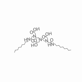 CCCCCCCCCNC(=O)CN(CCN(CCN(CC(=O)O)CC(=O)NCCCCCCCCC)CC(=O)O)CC(=O)O